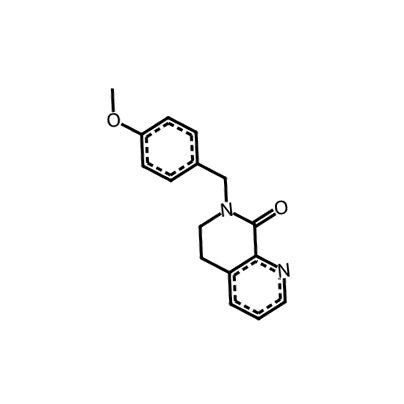 COc1ccc(CN2CCc3cccnc3C2=O)cc1